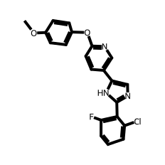 COc1ccc(Oc2ccc(-c3cnc(-c4c(F)cccc4Cl)[nH]3)cn2)cc1